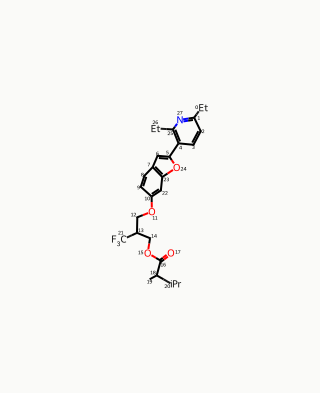 CCc1ccc(-c2cc3ccc(OCC(COC(=O)C(C)C(C)C)C(F)(F)F)cc3o2)c(CC)n1